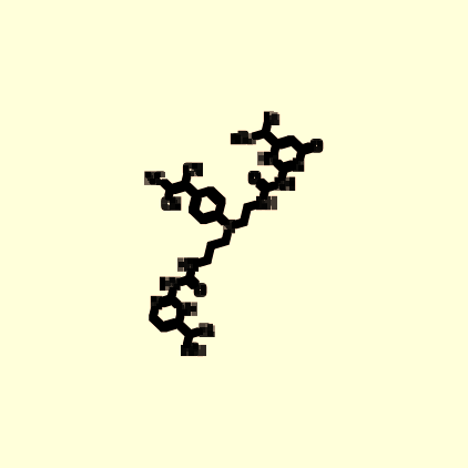 CCCCC(CC)C1=CCN=C(NC(=O)NCCCN(CCNC(=O)Nc2nc(=O)cc(C(CC)CCCC)[nH]2)c2ccc(C(C#N)=C(C#N)C#N)cc2)N1